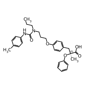 CCCN(CCCOc1ccc(C[C@](C)(Oc2ccccc2)C(=O)O)cc1)C(=O)Nc1ccc(C)cc1